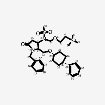 C[Si](C)(C)CCOCN(C1CC(=O)N(Cc2ccccc2)C1CO[C@H]1CC[C@@H](c2ccccc2)CC1)S(C)(=O)=O